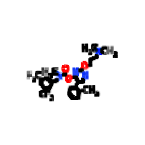 Cc1ccccc1-c1cnc(OCCCN(C)C)nc1OC(=O)N(C)Cc1cc(C(F)(F)F)cc(C(F)(F)F)c1